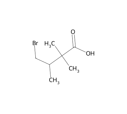 CC(CBr)C(C)(C)C(=O)O